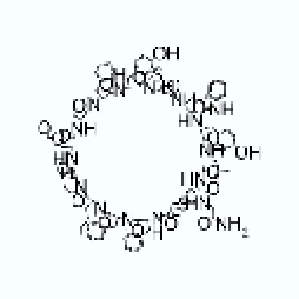 CCCC[C@H]1C(=O)N2CCC[C@@H]2C(=O)N[C@@H](COC=O)C(=O)N[C@@H](C)C(=O)N(C)[C@@H](Cc2ccccc2)C(=O)N[C@@H](Cc2ccc(O)cc2)C(=O)N2CSC[C@@H]2C(=O)N[C@@H](Cc2c[nH]c3ccccc23)C(=O)N[C@@H](Cc2ccc(O)cc2)C(=O)N[C@@H](CC(C)C)C(=O)N[C@H](C(=O)NCC(N)=O)CSCC(=O)N[C@@H](Cc2ccccc2)C(=O)N(C)[C@@H](Cc2ccccc2)C(=O)N1C